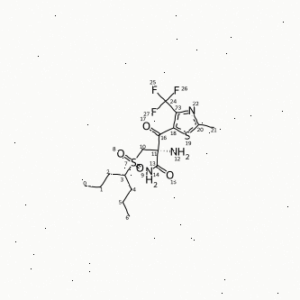 CCCC(CCC)S(=O)(=O)C[C@](N)(C(N)=O)C(=O)c1sc(C)nc1C(F)(F)F